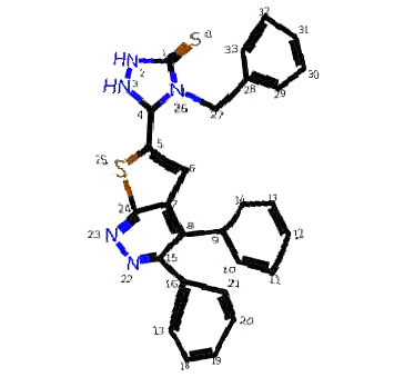 S=C1NNC(c2cc3c(C4C=CC=CC4)c(-c4ccccc4)nnc3s2)N1Cc1ccccc1